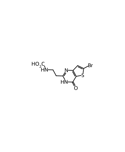 O=C(O)NCCc1nc2cc(Br)sc2c(=O)[nH]1